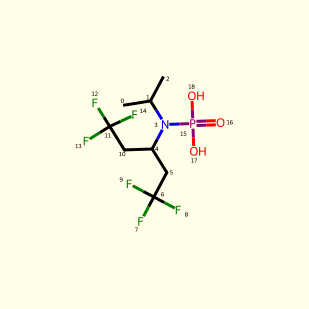 CC(C)N(C(CC(F)(F)F)CC(F)(F)F)P(=O)(O)O